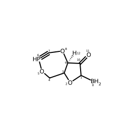 BC1OC2CO[PH]#CO[C@H]2C1=O